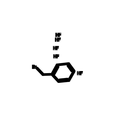 BrCc1ccccc1.F.F.F.F.F